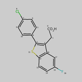 O=C(O)Cc1c(-c2ccc(Cl)cc2)sc2ccc(F)cc12